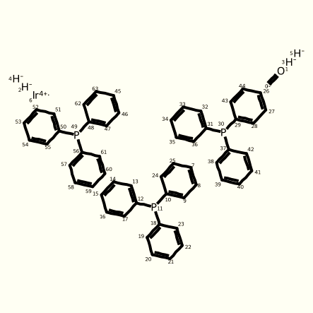 [C]=O.[H-].[H-].[H-].[H-].[Ir+4].c1ccc(P(c2ccccc2)c2ccccc2)cc1.c1ccc(P(c2ccccc2)c2ccccc2)cc1.c1ccc(P(c2ccccc2)c2ccccc2)cc1